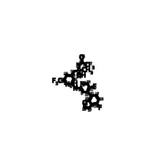 C[SH](O)(Cc1cc(Nc2cc(-c3ccc(F)c4ccoc34)c(F)cn2)nc(C(F)(F)F)c1)=NC(=O)C(F)(F)F